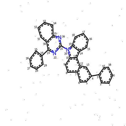 c1ccc(-c2ccc3ccc4c(c3c2)c2ccccc2n4-c2nc(-c3ccccc3)c3ccccc3n2)cc1